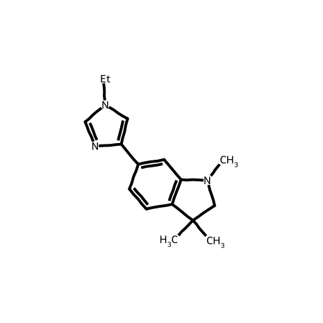 CCn1cnc(-c2ccc3c(c2)N(C)CC3(C)C)c1